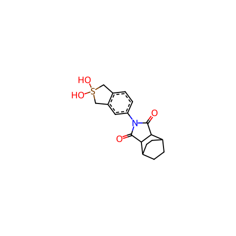 O=C1C2C3CCC(CC3)C2C(=O)N1c1ccc2c(c1)CS(O)(O)C2